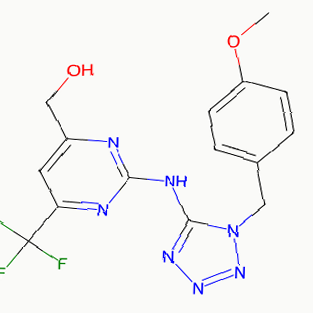 COc1ccc(Cn2nnnc2Nc2nc(CO)cc(C(F)(F)F)n2)cc1